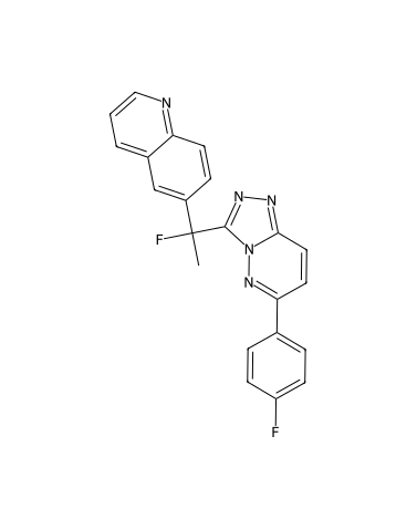 CC(F)(c1ccc2ncccc2c1)c1nnc2ccc(-c3ccc(F)cc3)nn12